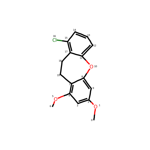 COc1cc(OC)c2c(c1)Oc1cccc(Cl)c1CC2